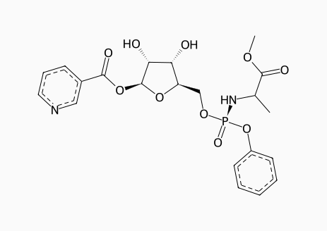 COC(=O)C(C)N[P@@](=O)(OC[C@H]1O[C@@H](OC(=O)c2cccnc2)[C@H](O)[C@@H]1O)Oc1ccccc1